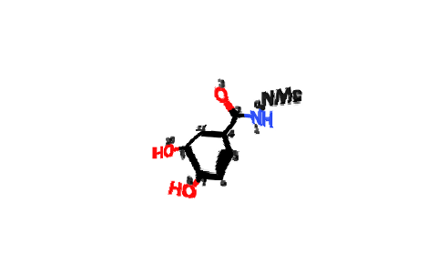 CNNC(=O)c1ccc(O)c(O)c1